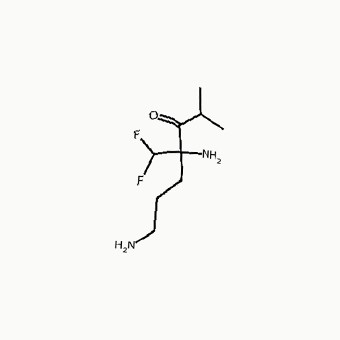 CC(C)C(=O)C(N)(CCCN)C(F)F